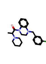 CC(C(=O)N1CCN(Cc2cccc(Cl)c2)c2ccccc21)N1CCCCC1